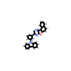 c1cc(-c2cnc3c(n2)oc2ccc4ccccc4c23)cc(-n2c3ccccc3c3ccccc32)c1